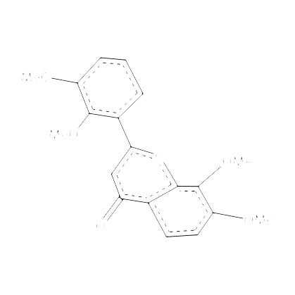 COc1cccc(-c2cc(=O)c3ccc(OC)c(OC)c3o2)c1OC